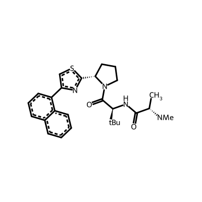 CN[C@@H](C)C(=O)N[C@H](C(=O)N1CCC[C@H]1c1nc(-c2cccc3ccccc23)cs1)C(C)(C)C